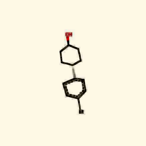 CCc1ccc([C@H]2CC[C@H](O)CC2)cc1